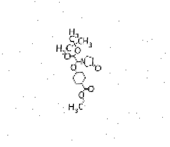 CCOC(=O)C1CCC(OC(C(=O)OC(C)(C)C)N2CCC(=O)C2)CC1